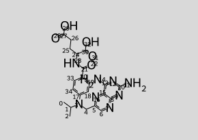 CC(C)N(Cc1cnc2nc(N)nc(N)c2n1)c1ccc(C(=O)NC(CCC(=O)O)C(=O)O)cc1